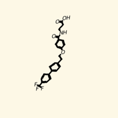 O=C(O)CCNC(=O)c1ccc(OCCc2ccc(-c3ccc(C(F)(F)F)cc3)cc2)cc1